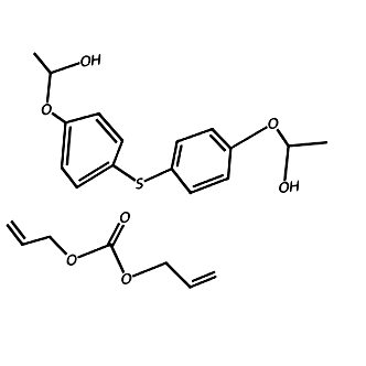 C=CCOC(=O)OCC=C.CC(O)Oc1ccc(Sc2ccc(OC(C)O)cc2)cc1